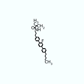 C=C(C)C(=O)NCCCc1ccc(-c2ccc(-c3ccc(CCCCC)cc3)cc2F)cc1